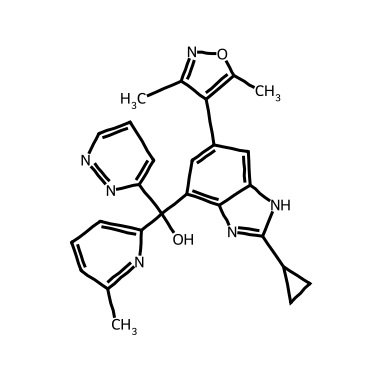 Cc1cccc(C(O)(c2cccnn2)c2cc(-c3c(C)noc3C)cc3[nH]c(C4CC4)nc23)n1